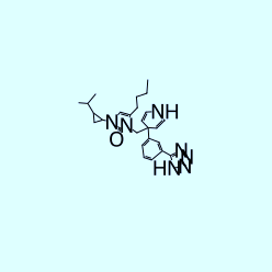 CCCCc1cn(C2CC2C(C)C)c(=O)n1CC1(c2cccc(-c3nnn[nH]3)c2)C=CNC=C1